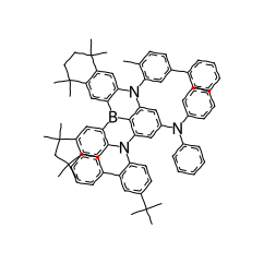 Cc1ccc(-c2ccccc2)cc1N1c2cc3c(cc2B2c4cc5c(cc4N(c4ccc(C(C)(C)C)cc4-c4ccccc4)c4cc(N(c6ccccc6)c6ccccc6)cc1c42)C(C)(C)CC5(C)C)C(C)(C)CCC3(C)C